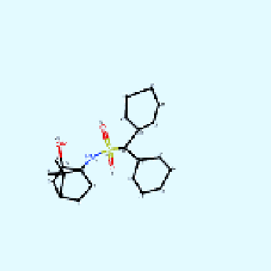 CC1(C)C2CCC1(NS(=O)(=O)C(C1CCCCC1)C1CCCCC1)C(O)C2